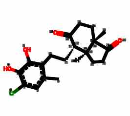 Cc1cc(Cl)c(O)c(O)c1CC[C@@H]1C(=O)CC[C@]2(C)C(=O)CC[C@@H]12